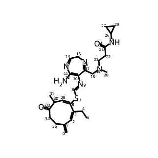 C=C1/C=C(CC)\C(S/C=N/C2=C(N)N=CCN=C2CN(C)CCC(=O)NC2CC2)=C/C(C)C(=O)CC1